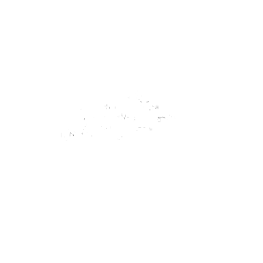 C/C(=N/c1scc(N)c1C)N(C=O)C1CCC(=O)NC1=O